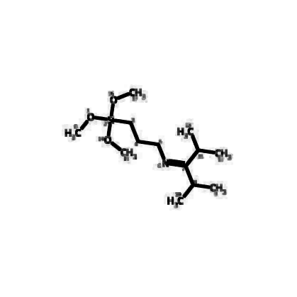 CO[Si](CCCN=C(C(C)C)C(C)C)(OC)OC